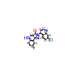 O=c1c2c[nH]c3ccc(F)cc3c-2nn1-c1ccnc2cc(Cl)ccc12